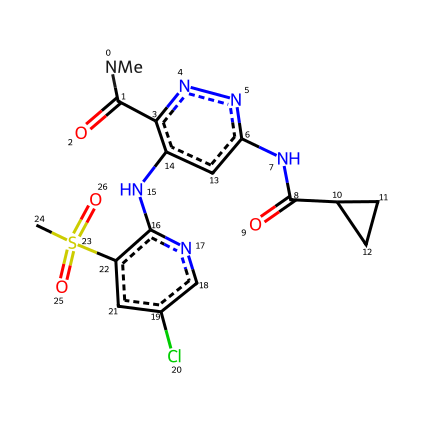 CNC(=O)c1nnc(NC(=O)C2CC2)cc1Nc1ncc(Cl)cc1S(C)(=O)=O